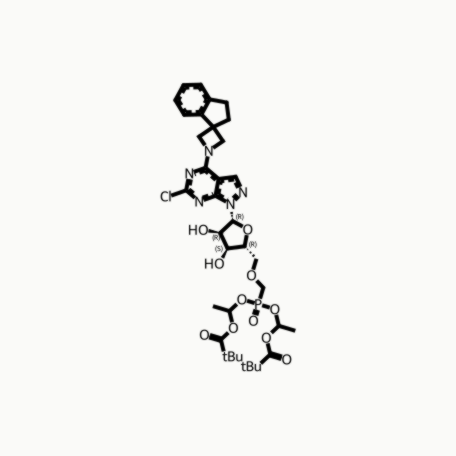 CC(OC(=O)C(C)(C)C)OP(=O)(COC[C@H]1O[C@@H](n2ncc3c(N4CC5(CCc6ccccc65)C4)nc(Cl)nc32)[C@H](O)[C@@H]1O)OC(C)OC(=O)C(C)(C)C